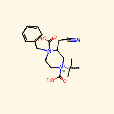 CC(C)(C)[N@+]1(C(=O)O)CC[N+](Cc2ccccc2)(C(=O)O)C(CC#N)C1